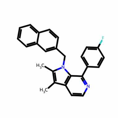 Cc1c(C)n(Cc2ccc3ccccc3c2)c2c(-c3ccc(F)cc3)nccc12